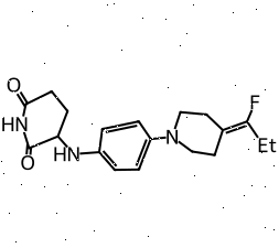 CCC(F)=C1CCN(c2ccc(NC3CCC(=O)NC3=O)cc2)CC1